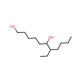 CCCCC(CC)C(O)CCCCCO